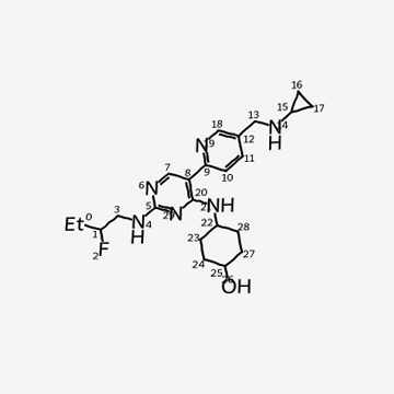 CCC(F)CNc1ncc(-c2ccc(CNC3CC3)cn2)c(NC2CCC(O)CC2)n1